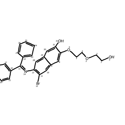 OCCOCCOc1cc2cc(Br)c(N=C(c3ccccc3)c3ccccc3)cc2cc1O